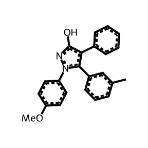 COc1ccc(-n2nc(O)c(-c3ccccc3)c2-c2cccc(C)c2)cc1